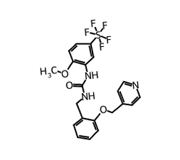 COc1ccc(S(F)(F)(F)(F)F)cc1NC(=O)NCc1ccccc1OCc1ccncc1